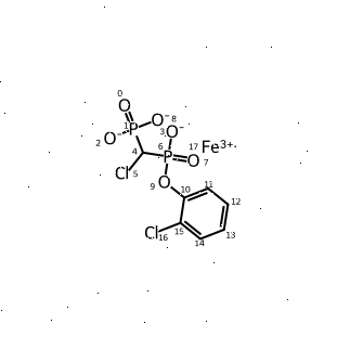 O=P([O-])([O-])C(Cl)P(=O)([O-])Oc1ccccc1Cl.[Fe+3]